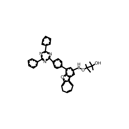 CC(C)(O)C(C)(C)OBc1cc(-c2ccc(-c3nc(-c4ccccc4)nc(-c4ccccc4)n3)cc2)c2oc3c(c2c1)=CC=CCC=3